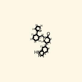 O=c1ccc(-c2ccc3cn[nH]c3c2)cn1Cc1ccccc1-c1cccs1